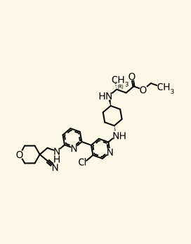 CCOC(=O)C[C@@H](C)N[C@H]1CC[C@H](Nc2cc(-c3cccc(NCC4(C#N)CCOCC4)n3)c(Cl)cn2)CC1